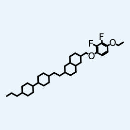 CCCC1CCC(C2CCC(CCC3CCC4CC(COc5ccc(OCC)c(F)c5F)CCC4C3)CC2)CC1